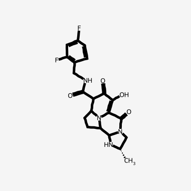 C[C@H]1CN2C(=O)C3=C(O)C(=O)C(C(=O)NCc4ccc(F)cc4F)C4CCC(C2N1)N34